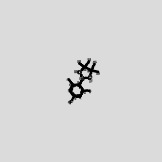 Cc1cc(F)cc(C)c1B1OC(C)(C)C(C)(C)O1